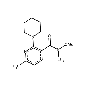 CON(C)C(=O)c1ccc(C(F)(F)F)nc1N1CCCCC1